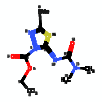 CSc1nn(C(=O)OCC(Cl)(Cl)Cl)c(=NC(=O)N(C)C)s1